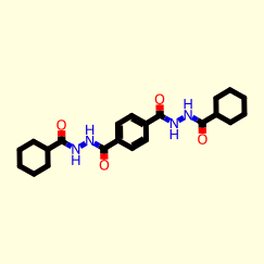 O=C(NNC(=O)C1CCCCC1)c1ccc(C(=O)NNC(=O)C2CCCCC2)cc1